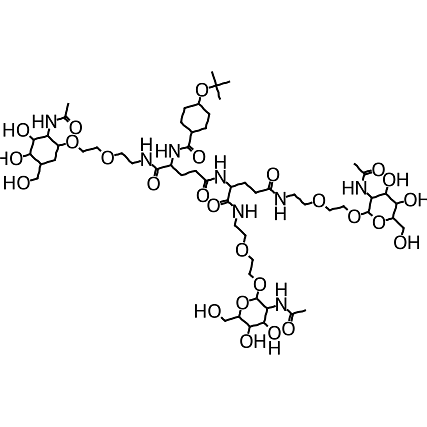 CC(=O)NC1C(OCCOCCNC(=O)C(CCC(=O)NC(CCC(=O)NCCOCCOC2OC(CO)C(O)C(O)C2NC(C)=O)C(=O)NCCOCCOC2OC(CO)C(O)C(O)C2NC(C)=O)NC(=O)C2CCC(OC(C)(C)C)CC2)CC(CO)C(O)C1O